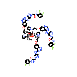 CC(C)(C)C(OP(=O)(OC([C@H]1CCCN1CCCOc1ccc2c(Nc3cnn(CC(=O)Nc4cccc(F)c4F)c3)ncnc2c1)(C(C)(C)C)C(C)(C)C)OC([C@H]1CCCN1CCCOc1ccc2c(Nc3cnn(CC(=O)Nc4cccc(F)c4F)c3)ncnc2c1)(C(C)(C)C)C(C)(C)C)([C@H]1CCCN1CCCOc1ccc2c(Nc3cnn(CC(=O)Nc4cccc(F)c4F)c3)ncnc2c1)C(C)(C)C